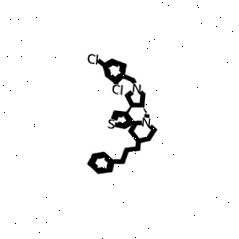 Clc1ccc(CN2C[C@H](CN3CCC(CCCc4ccccc4)CC3)[C@@H](c3ccsc3)C2)c(Cl)c1